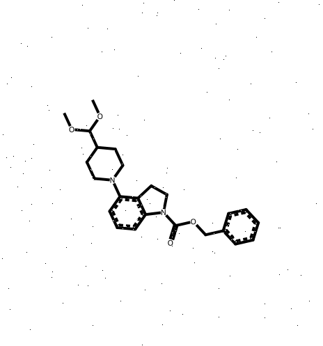 COC(OC)C1CCN(c2cccc3c2CCN3C(=O)OCc2ccccc2)CC1